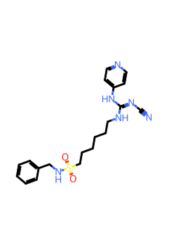 N#C/N=C(\NCCCCCCS(=O)(=O)NCc1ccccc1)Nc1ccncc1